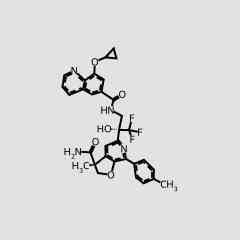 Cc1ccc(-c2nc([C@@](O)(CNC(=O)c3cc(OC4CC4)c4ncccc4c3)C(F)(F)F)cc3c2OC[C@]3(C)C(N)=O)cc1